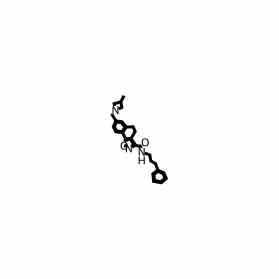 CC1CN(Cc2ccc3c(c2)CCc2c(C(=O)NCCCc4ccccc4)noc2-3)C1